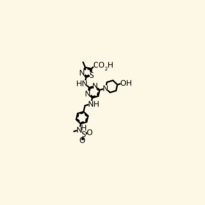 Cc1nc(Nc2nc(NCc3ccc(N(C)[SH](=O)=O)cc3)cc(N3CCC(O)CC3)n2)sc1C(=O)O